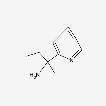 [CH2]CC(C)(N)c1ccccn1